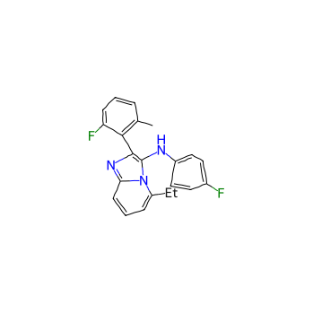 CCc1cccc2nc(-c3c(C)cccc3F)c(Nc3ccc(F)cc3)n12